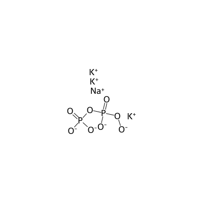 O=P([O-])([O-])OP(=O)([O-])O[O-].[K+].[K+].[K+].[Na+]